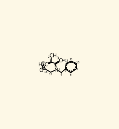 C=C(C)C(=O)N(Cc1ccccc1)CC1CO1